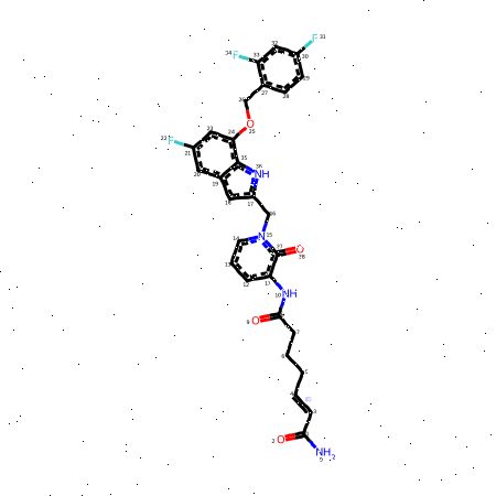 NC(=O)/C=C/CC[CH]C(=O)Nc1cccn(Cc2cc3cc(F)cc(OCc4ccc(F)cc4F)c3[nH]2)c1=O